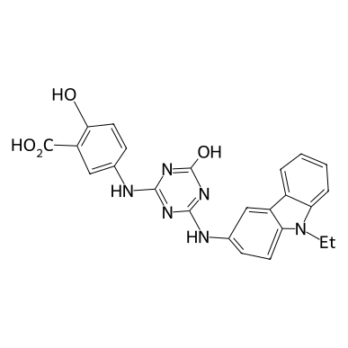 CCn1c2ccccc2c2cc(Nc3nc(O)nc(Nc4ccc(O)c(C(=O)O)c4)n3)ccc21